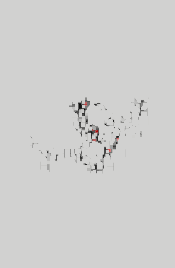 CCCCCOc1ccc(NC(=O)NCOCCNCc2c(O)cc3c(c2O)-c2cc(ccc2O)[C@H]2NC(=O)[C@@H]4NC(=O)[C@H](CC(N)=O)NC(=O)[C@H](NC(=O)[C@@H](CC(C)C)NC)[C@H](O)c5ccc(c(C)c5)Oc5cc4cc(c5O[C@@H]4O[C@H](CO)[C@@H](O)[C@H](O)[C@H]4O[C@H]4C[C@]5(C)NC(=O)O[C@@H]5[C@H](C)O4)Oc4ccc(cc4Cl)[C@@H](O)[C@H](NC2=O)C(=O)N[C@@H]3C(=O)O)cc1